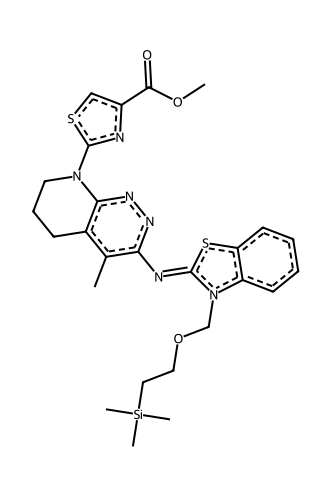 COC(=O)c1csc(N2CCCc3c2nnc(/N=c2\sc4ccccc4n2COCC[Si](C)(C)C)c3C)n1